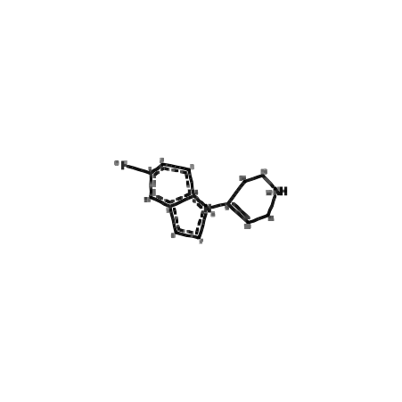 Fc1ccc2c(ccn2C2=CCNCC2)c1